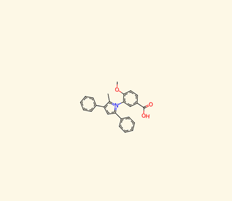 COc1ccc(C(=O)O)cc1-n1c(-c2ccccc2)cc(-c2ccccc2)c1C